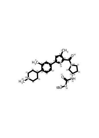 Cc1cc(-c2cc(C)c(C(=O)N3CC[C@H](NC(=O)OC(C)(C)C)C3)s2)ccc1C1CCN(C)CC1